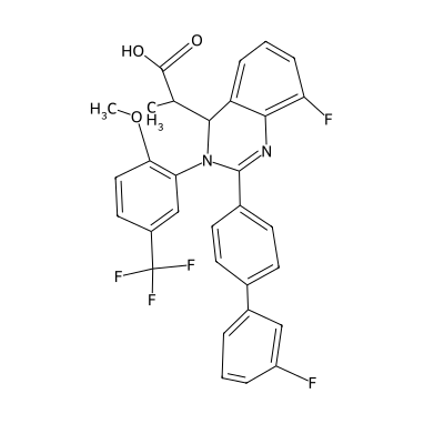 COc1ccc(C(F)(F)F)cc1N1C(c2ccc(-c3cccc(F)c3)cc2)=Nc2c(F)cccc2C1C(C)C(=O)O